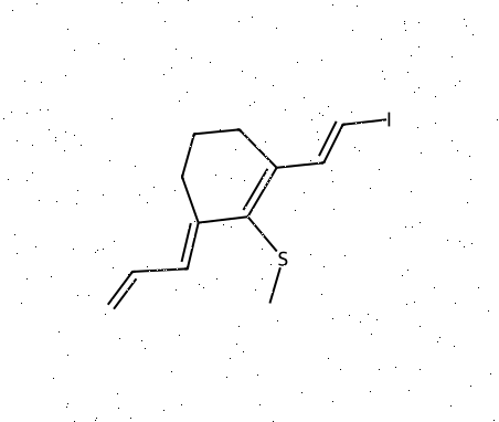 C=C/C=C1\CCCC(/C=C/I)=C1SC